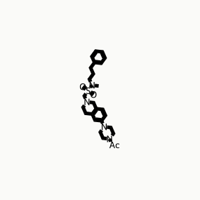 CC(=O)N1CCN(c2ccc3c(c2)CCN(CS(=O)(=O)N(C)CCCc2ccccc2)C3)CC1